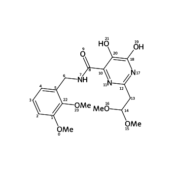 COc1cccc(CNC(=O)c2nc(CC(OC)OC)nc(O)c2O)c1OC